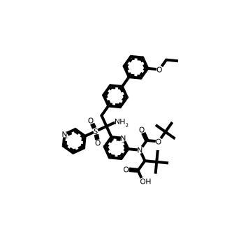 CCOc1cccc(-c2ccc(CC(N)(c3cccc(N(C(=O)OC(C)(C)C)C(C(=O)O)C(C)(C)C)n3)S(=O)(=O)c3cccnc3)cc2)c1